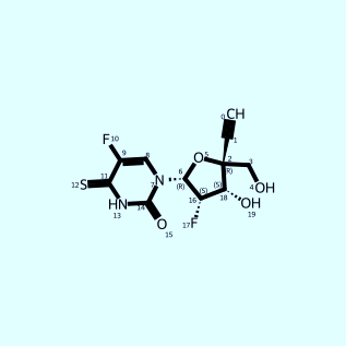 C#C[C@]1(CO)O[C@@H](n2cc(F)c(=S)[nH]c2=O)[C@@H](F)[C@H]1O